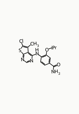 Cc1c(Cl)sc2ncnc(Nc3ccc(C(N)=O)cc3OC(C)C)c12